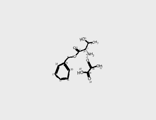 CC(O)[C@H](N)C(=O)OCc1ccccc1.O=C(O)C(=O)O